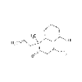 C=CCC1(C)C(=O)CC(C)C2C(O)CCCC21